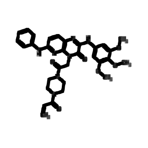 C=CC(=O)N1CCN(C(=O)Cn2c(=O)c(Nc3cc(OC)c(OC)c(OC)c3)nc3ccc(Nc4ccccc4)nc32)CC1